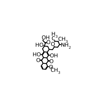 COC1=CC=CC2C(=O)C3C(O)=C4CC(O)(C(=O)CO)CC(CC5CC(N)C(C)C(C)O5)C4=C(O)C3C(=O)C12